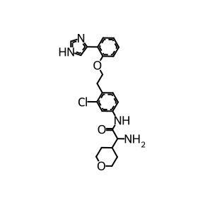 NC(C(=O)Nc1ccc(CCOc2ccccc2-c2c[nH]cn2)c(Cl)c1)C1CCOCC1